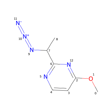 COc1ccnc(C(C)N=[N+]=[N-])n1